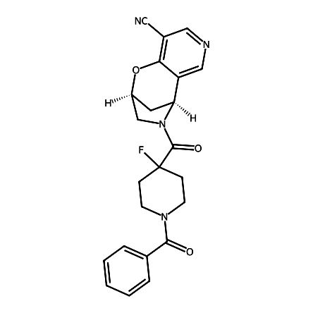 N#Cc1cncc2c1O[C@H]1C[C@@H]2N(C(=O)C2(F)CCN(C(=O)c3ccccc3)CC2)C1